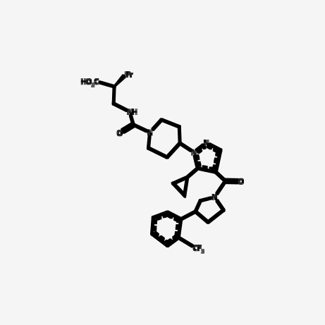 CC(C)[C@@H](CNC(=O)N1CCC(n2ncc(C(=O)N3CCC(c4ccccc4C(F)(F)F)C3)c2C2CC2)CC1)C(=O)O